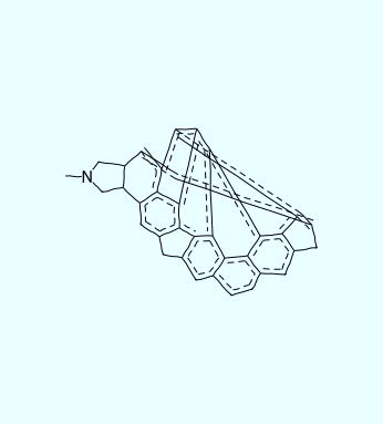 CN1CC2c3cc4c5c6c(cc7ccc8cc9c%10c%11c(cc(c%12c3c5c(c%12%11)c3c6c7c8c%103)C2C1)C9)C4